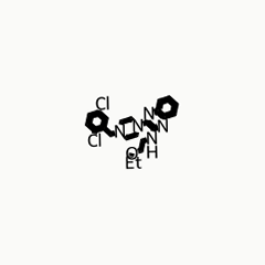 CCOCCNc1nc2ccccc2nc1N1CCN(Cc2cc(Cl)ccc2Cl)CC1